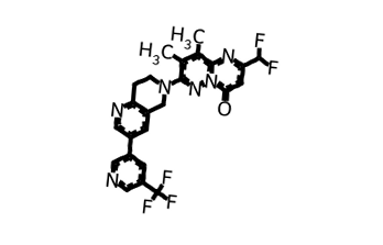 Cc1c(N2CCc3ncc(-c4cncc(C(F)(F)F)c4)cc3C2)nn2c(=O)cc(C(F)F)nc2c1C